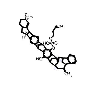 C#CCCOP(=O)(O)Oc1c2c(c(O)c3c1C1CC3c3cc4c(cc31)C1C3=C[C@H](C)CCC3C[C@H]41)C1CC2C2=C\C3CC(C(=C)/C=C\21)c1ccccc13